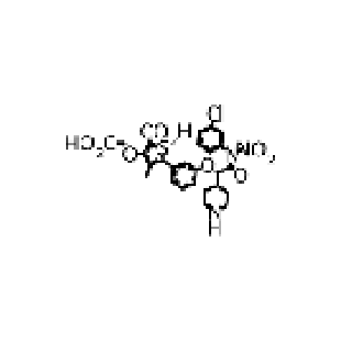 Cc1c(-c2cccc(OC(C(=O)N(c3cccc(Cl)c3)[N+](=O)[O-])C3CCNCC3)c2)sc(C(=O)O)c1OCC(=O)O